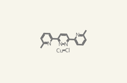 Cc1cccc(-c2ccc(-c3cccc(C)n3)nn2)n1.[Cl][Cu]